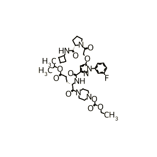 CCOC(=O)ON1CCN(C(=O)[C@H](CCC(=O)OC(C)C)NC(=O)c2cc(OCC(=O)N3CCC[C@H]3C(=O)NC3CCC3)n(-c3cccc(F)c3)n2)CC1